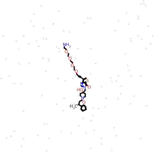 C[C@H](CC(=O)N1CCC(O)(Cn2cnc3c(C#CCOCCOCCOCCOCCN)csc3c2=O)CC1)c1ccccc1